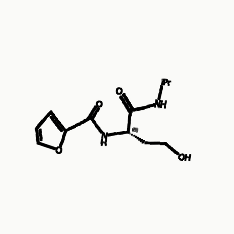 CC(C)NC(=O)[C@H](CCO)NC(=O)c1ccco1